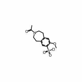 COc1cc2c(cc1S(=O)(=O)Cl)CCN(C(C)=O)CC2